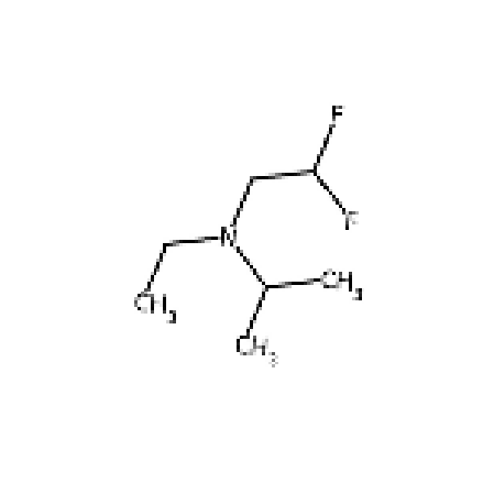 CCN(CC(F)F)C(C)C